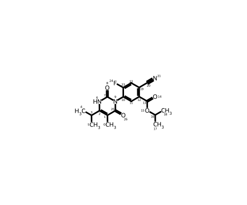 Cc1c(C(C)C)[nH]c(=O)n(-c2cc(C(=O)OC(C)C)c(C#N)cc2F)c1=O